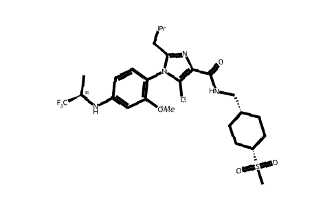 COc1cc(N[C@H](C)C(F)(F)F)ccc1-n1c(CC(C)C)nc(C(=O)NC[C@H]2CC[C@@H](S(C)(=O)=O)CC2)c1Cl